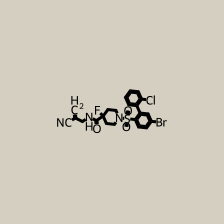 C=C(C#N)CNC(=O)C1(F)CCN(S(=O)(=O)c2ccc(Br)cc2-c2ccccc2Cl)CC1